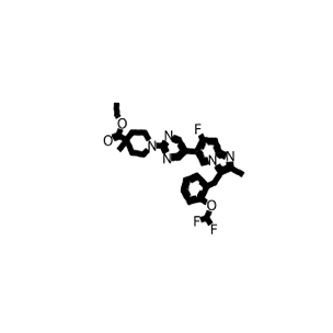 CCOC(=O)C1(C)CCN(c2ncc(-c3cn4c(Cc5ccccc5OC(F)F)c(C)nc4cc3F)cn2)CC1